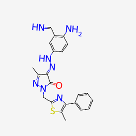 CC1=NN(Cc2nc(-c3ccccc3)c(C)s2)C(=O)/C1=N/Nc1ccc(N)c(C=N)c1